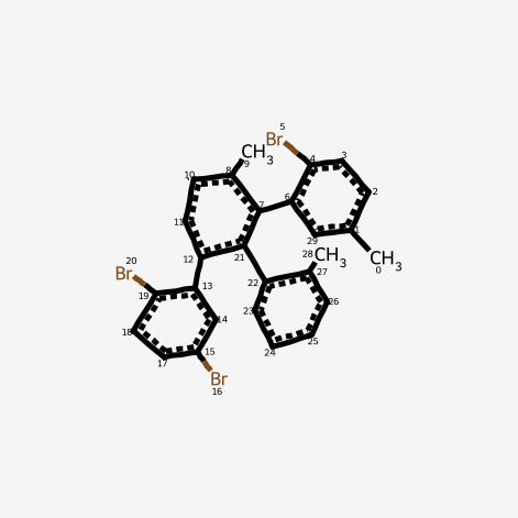 Cc1ccc(Br)c(-c2c(C)[c]cc(-c3cc(Br)ccc3Br)c2-c2ccccc2C)c1